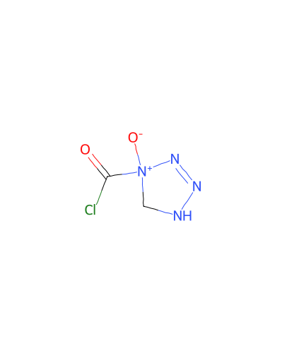 O=C(Cl)[N+]1([O-])CNN=N1